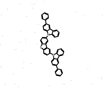 c1ccc(-c2ccc3c(c2)c2ccccc2n3-c2ccc3sc4ccc(-n5c6ccccc6c6cc(-c7ccccc7)ccc65)cc4c3c2)cc1